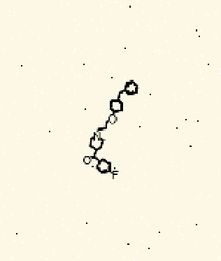 O=C(c1ccc(F)cc1)C1CCN(CCCOc2ccc(Cc3ccccc3)cc2)CC1